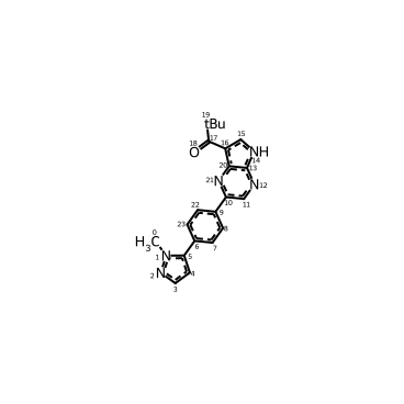 Cn1nccc1-c1ccc(-c2cnc3[nH]cc(C(=O)C(C)(C)C)c3n2)cc1